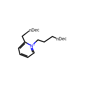 CCCCCCCCCCCCC[n+]1ccccc1CCCCCCCCCCC